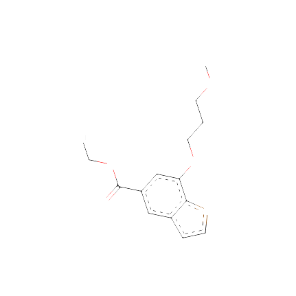 CCOC(=O)c1cc(OCCCOC)c2sccc2c1